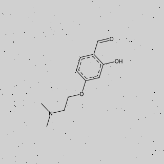 CN(C)CCOc1ccc(C=O)c(O)c1